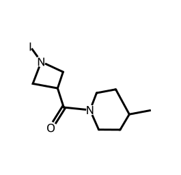 CC1CCN(C(=O)C2CN(I)C2)CC1